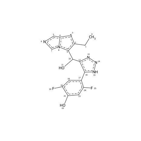 CCc1sc2cncn2c1C(O)c1nn[nH]c1-c1cc(F)c(O)cc1F